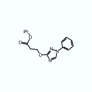 CC(C)OC(=O)CCOc1ncn(-c2ccccc2)n1